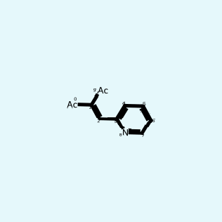 CC(=O)C(=Cc1ccccn1)C(C)=O